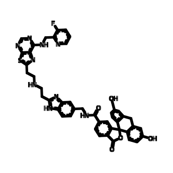 O=C(NCc1ccc2[nH]c(CCNCCc3nc4c(NCc5ncccc5F)ncnc4s3)nc2c1)c1ccc2c(c1)C1(OC2=O)c2ccc(O)cc2Cc2cc(O)ccc21